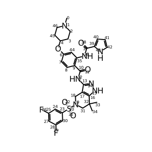 CN1CCC(Oc2ccc(C(=O)Nc3n[nH]c4c3CN(S(=O)(=O)c3cc(F)cc(F)c3)CC4(C)C)c(NC(=O)c3ccc[nH]3)c2)CC1